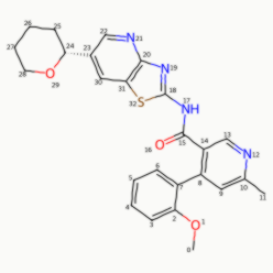 COc1ccccc1-c1cc(C)ncc1C(=O)Nc1nc2ncc([C@H]3CCCCO3)cc2s1